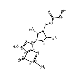 CCCNC(=O)OC[C@H]1[C@@H](O)[C@H](n2c[n+](C)c3c(=O)[nH]c(N)nc32)O[C@@H]1C